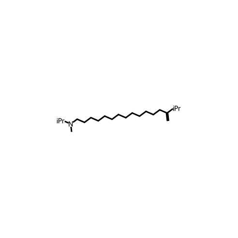 C=C(CCCCCCCCCCCCCN(C)C(C)C)C(C)C